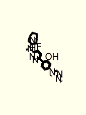 C=N/N=C\N(C)c1ccc(-c2ccc(N(C)[C@H]3CC4CCC(N4)[C@H]3F)nn2)c(O)c1